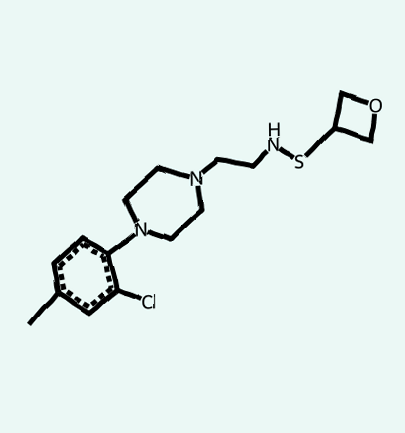 Cc1ccc(N2CCN(CCNSC3COC3)CC2)c(Cl)c1